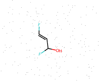 OC(F)C=CF